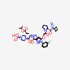 CC(C)OC(=O)CC[C@H](NC(=O)c1cc(OCC(=O)N2CCC[C@H]2C(=O)NC2CCC2)n(-c2cccc(F)c2)n1)C(=O)N1CCN(C(=O)O)CC1